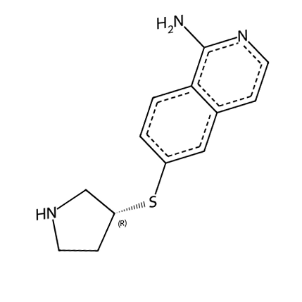 Nc1nccc2cc(S[C@@H]3CCNC3)ccc12